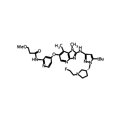 COCCC(=O)Nc1cc(Oc2cnc3nc(Nc4cc(C(C)(C)C)n(C[C@@H]5CCN(CCF)C5)n4)n(C)c3c2C)ccn1